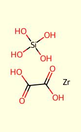 O=C(O)C(=O)O.O[Si](O)(O)O.[Zr]